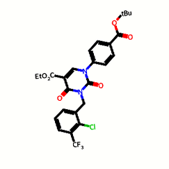 CCOC(=O)c1cn(-c2ccc(C(=O)OC(C)(C)C)cc2)c(=O)n(Cc2cccc(C(F)(F)F)c2Cl)c1=O